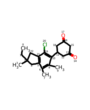 CCC1(C)Cc2c(C)c(C)c(C3CC(=O)CC(=O)C3)c(Cl)c2C1